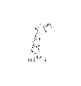 CN(C)c1ccc(CNCC2CCC(N)CC2)cc1